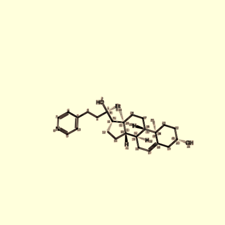 CC[C@@](O)(CCc1ccncc1)[C@H]1CC[C@H]2[C@@H]3CC=C4C[C@@H](O)CC[C@]4(C)[C@H]3CC[C@]12C